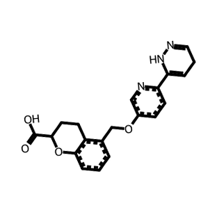 O=C(O)C1CCc2c(COc3ccc(C4=CCC=NN4)nc3)cccc2O1